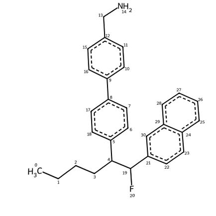 CCCCC(c1ccc(-c2ccc(CN)cc2)cc1)C(F)c1ccc2ccccc2c1